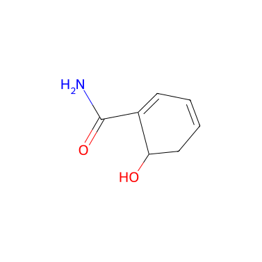 NC(=O)C1=CC=CCC1O